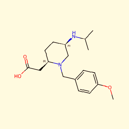 COc1ccc(CN2C[C@H](NC(C)C)CC[C@@H]2CC(=O)O)cc1